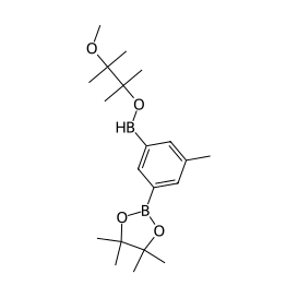 COC(C)(C)C(C)(C)OBc1cc(C)cc(B2OC(C)(C)C(C)(C)O2)c1